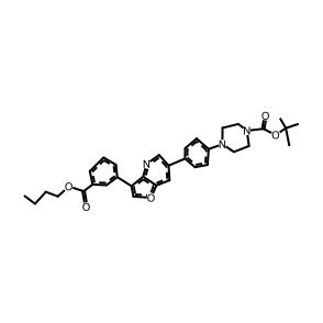 CCCCOC(=O)c1cccc(-c2coc3cc(-c4ccc(N5CCN(C(=O)OC(C)(C)C)CC5)cc4)cnc23)c1